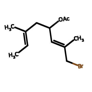 CC=C(C)CC(C=C(C)CBr)OC(C)=O